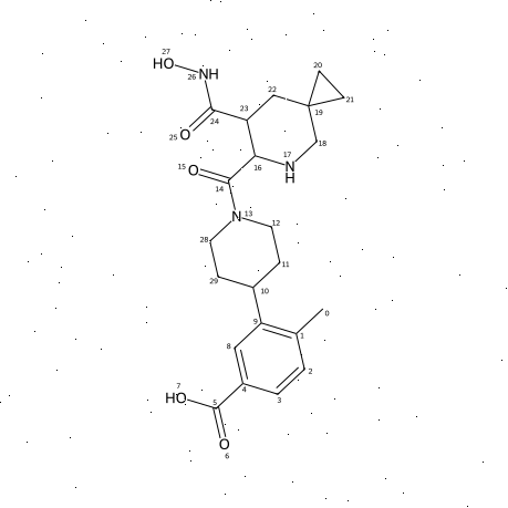 Cc1ccc(C(=O)O)cc1C1CCN(C(=O)C2NCC3(CC3)CC2C(=O)NO)CC1